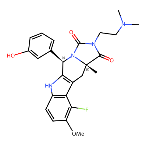 COc1ccc2[nH]c3c(c2c1F)C[C@@]1(C)C(=O)N(CCN(C)C)C(=O)N1[C@@H]3c1cccc(O)c1